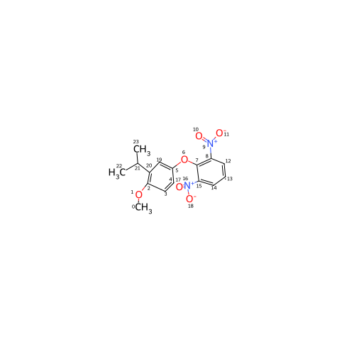 COc1ccc(Oc2c([N+](=O)[O-])c[c]cc2[N+](=O)[O-])cc1C(C)C